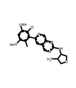 COc1cc(OC)c(Cl)c(-c2cc3cnc(NC4COCC4N)nc3cn2)c1C